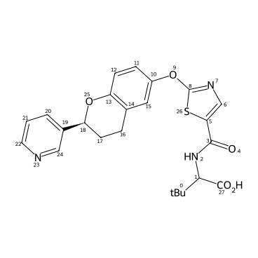 CC(C)(C)C(NC(=O)c1cnc(Oc2ccc3c(c2)CC[C@@H](c2cccnc2)O3)s1)C(=O)O